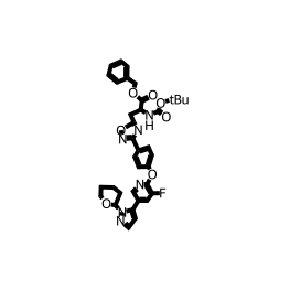 CC(C)(C)OC(=O)NC(Cc1nc(-c2ccc(Oc3ncc(-c4ccnn4C4CCCCO4)cc3F)cc2)no1)C(=O)OCc1ccccc1